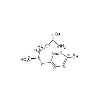 CCC(C)[C@H](N)C(=O)O.N[C@@H](Cc1ccc(O)cc1)C(=O)O